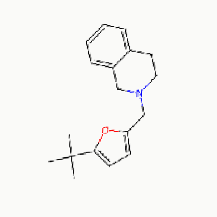 CC(C)(C)c1ccc(CN2CCc3ccccc3C2)o1